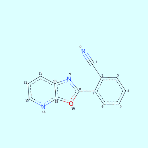 N#Cc1ccccc1-c1nc2cccnc2o1